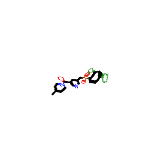 CC1CCN(C(=O)c2cncc(CS(=O)(=O)c3ccc(Cl)cc3Cl)c2)CC1